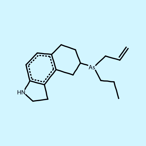 C=CC[As](CCC)C1CCc2ccc3c(c2C1)CCN3